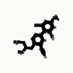 CCC(C)Cc1ccc(-c2c(Cl)cc(N)cc2Cl)cc1C#N